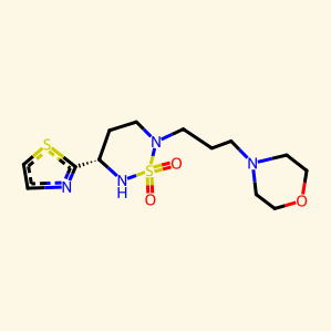 O=S1(=O)N[C@H](c2nccs2)CCN1CCCN1CCOCC1